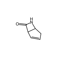 O=C1NC2CC=CC12